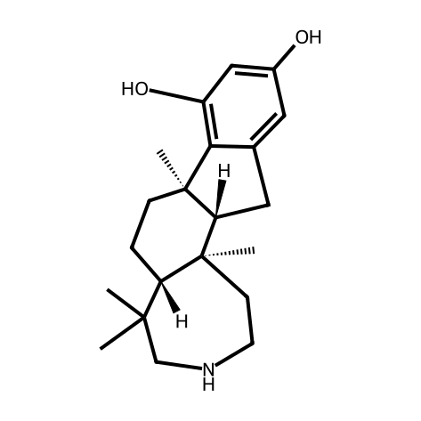 CC1(C)CNCC[C@]2(C)[C@H]3Cc4cc(O)cc(O)c4[C@]3(C)CC[C@@H]12